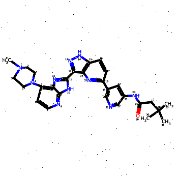 CN1CCN(c2ccnc3[nH]c(-c4n[nH]c5ccc(-c6cncc(NC(=O)CC(C)(C)C)c6)nc45)nc23)CC1